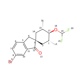 C[C@@H]1C[C@@]2(Cc3ccc(Br)cc3C2=O)C[C@H](C)[C@H]1OC(F)F